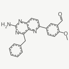 COc1ccc(-c2ccc3nc(N)nc(Cc4ccccc4)c3n2)cc1C=O